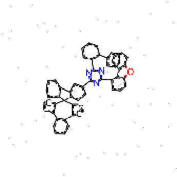 c1ccc(-c2ccccc2-c2nc(-c3ccc4c(c3)-c3ccccc3C43c4ccccc4-c4ccccc4-c4ccccc43)nc(-c3cccc4oc5ccccc5c34)n2)cc1